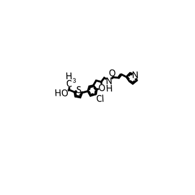 CC(O)c1ccc(-c2cc(Cl)c3c(c2)CC(CNC(=O)C=Cc2cccnc2)O3)s1